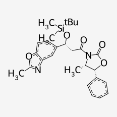 Cc1nc2cc([C@@H](CC(=O)N3C(=O)O[C@H](c4ccccc4)[C@@H]3C)O[Si](C)(C)C(C)(C)C)ccc2o1